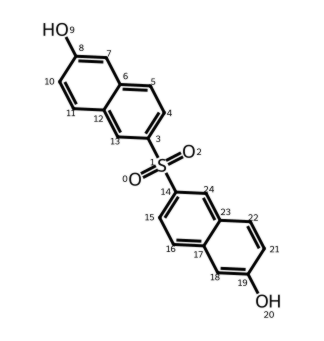 O=S(=O)(c1ccc2cc(O)ccc2c1)c1ccc2cc(O)ccc2c1